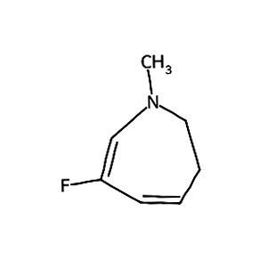 CN1C=C(F)C=CCC1